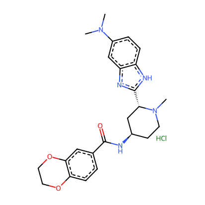 CN(C)c1ccc2[nH]c([C@H]3C[C@H](NC(=O)c4ccc5c(c4)OCCO5)CCN3C)nc2c1.Cl